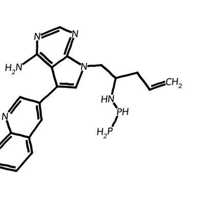 C=CCC(Cn1cc(-c2cnc3ccccc3c2)c2c(N)ncnc21)NPP